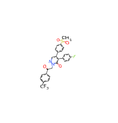 CS(=O)(=O)c1ccc(-c2cnn(CC(=O)c3ccc(C(F)(F)F)cc3)c(=O)c2-c2ccc(F)cc2)cc1